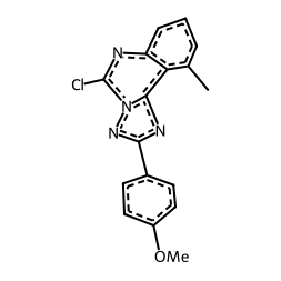 COc1ccc(-c2nc3c4c(C)cccc4nc(Cl)n3n2)cc1